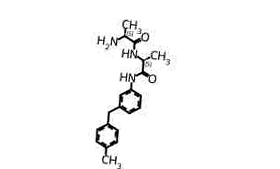 Cc1ccc(Cc2cccc(NC(=O)[C@H](C)NC(=O)[C@H](C)N)c2)cc1